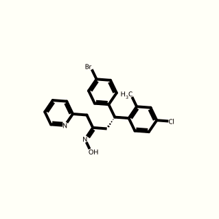 Cc1cc(Cl)ccc1[C@H](C/C(Cc1ccccn1)=N\O)c1ccc(Br)cc1